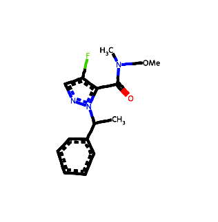 CON(C)C(=O)c1c(F)cnn1C(C)c1ccccc1